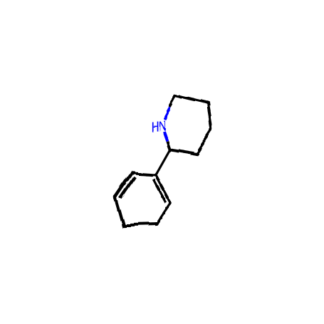 C1=CC(C2CCCCN2)=CCC1